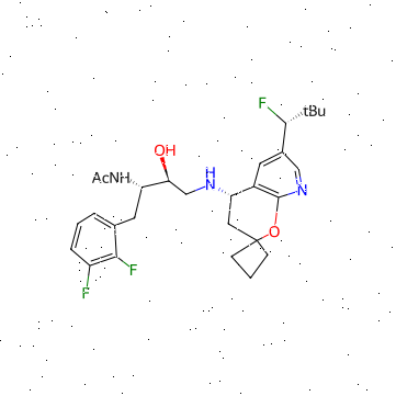 CC(=O)N[C@@H](Cc1cccc(F)c1F)[C@@H](O)CN[C@H]1CC2(CCC2)Oc2ncc([C@H](F)C(C)(C)C)cc21